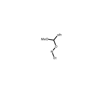 CCCC(OC)O[N]CC